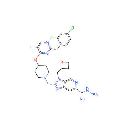 N=C(NN)c1cc2nc(CN3CCC(Oc4nc(Cc5ccc(Cl)cc5F)ncc4F)CC3)n(CC3CCO3)c2cn1